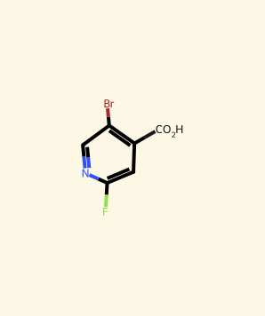 O=C(O)c1cc(F)ncc1Br